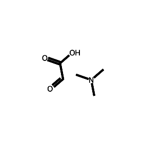 CN(C)C.O=CC(=O)O